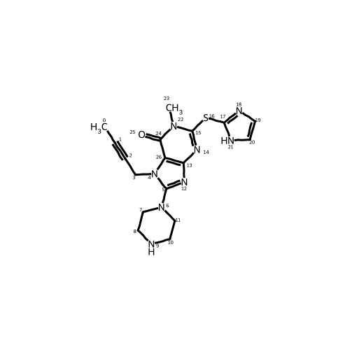 CC#CCn1c(N2CCNCC2)nc2nc(Sc3ncc[nH]3)n(C)c(=O)c21